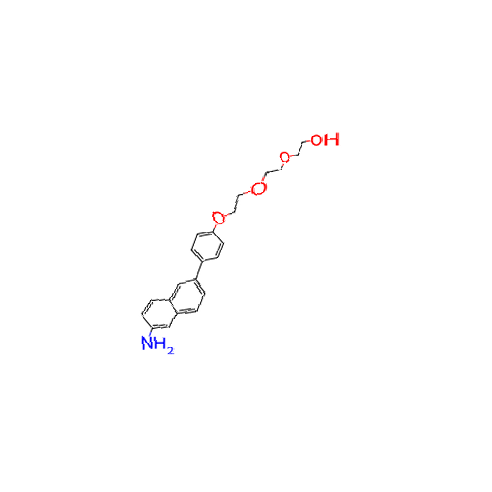 Nc1ccc2cc(-c3ccc(OCCOCCOCCO)cc3)ccc2c1